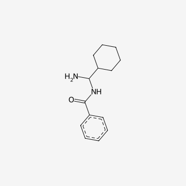 NC(NC(=O)c1ccccc1)C1CCCCC1